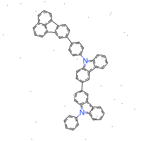 c1ccc(-n2c3ccccc3c3cc(-c4ccc5c(c4)c4ccccc4n5-c4ccc(-c5ccc6c(c5)-c5cccc7cccc-6c57)cc4)ccc32)cc1